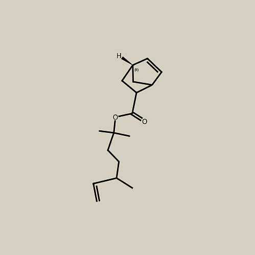 C=CC(C)CCC(C)(C)OC(=O)C1C[C@@H]2C=CC1C2